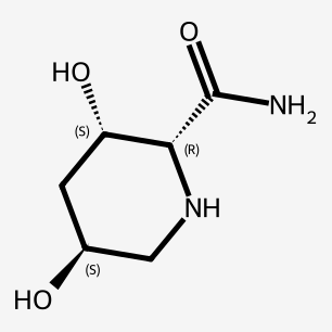 NC(=O)[C@@H]1NC[C@@H](O)C[C@@H]1O